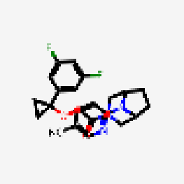 N#Cc1ccc(N2C3CCC2CN(C(=O)COC2(c4cc(F)cc(F)c4)CC2)C3)nc1